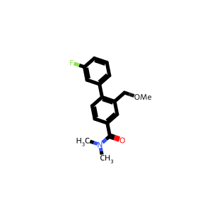 COCc1cc(C(=O)N(C)C)ccc1-c1cccc(F)c1